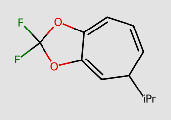 CC(C)C1C=CC=C2OC(F)(F)OC2=C1